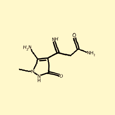 Cn1[nH]c(=O)c(C(=N)CC(N)=O)c1N